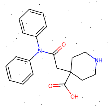 O=C(CC1(C(=O)O)CCNCC1)N(c1ccccc1)c1ccccc1